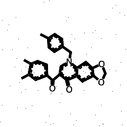 Cc1ccc(Cn2cc(C(=O)c3ccc(C)c(C)c3)c(=O)c3cc4c(cc32)OCO4)cc1